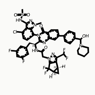 Cn1nc(NS(C)(=O)=O)c2c(Cl)ccc(-n3c([C@H](Cc4cc(F)cc(F)c4)NC(=O)Cn4nc(C(F)F)c5c4C(F)(F)[C@@H]4C[C@H]54)nc4cc(-c5ccc(C(O)N6CCCCC6)cc5)ccc4c3=O)c21